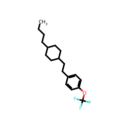 CCCCC1CCC(CCc2ccc(OC(F)(F)F)cc2)CC1